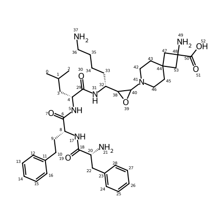 CC(C)C[C@@H](NC(=O)[C@@H](CCc1ccccc1)NC(=O)[C@H](N)Cc1ccccc1)C(=O)N[C@H](CCCCN)C1OC1N1CCC2(CC1)CC(N)(C(=O)O)C2